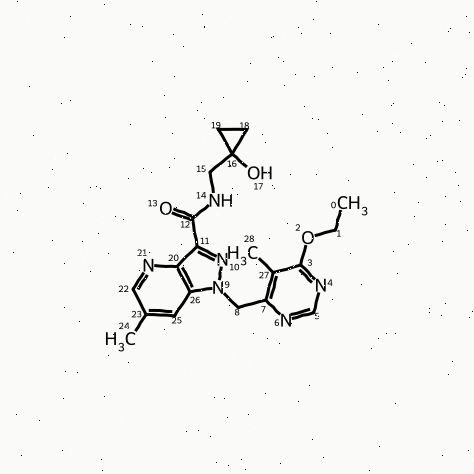 CCOc1ncnc(Cn2nc(C(=O)NCC3(O)CC3)c3ncc(C)cc32)c1C